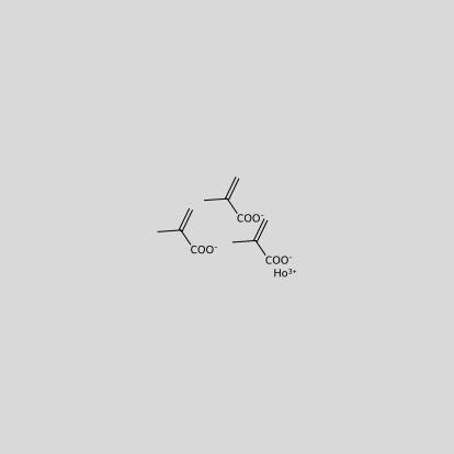 C=C(C)C(=O)[O-].C=C(C)C(=O)[O-].C=C(C)C(=O)[O-].[Ho+3]